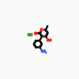 Cc1cc(O)c(-c2cccc(N)c2)c(=O)o1.Cl